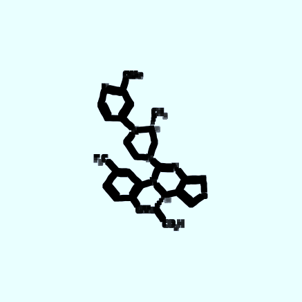 COc1cc(N2CCN(C3=Nc4cscc4[C@H](CC(=O)O)N3c3cc(C(F)(F)F)ccc3OC)C[C@H]2C)ccn1